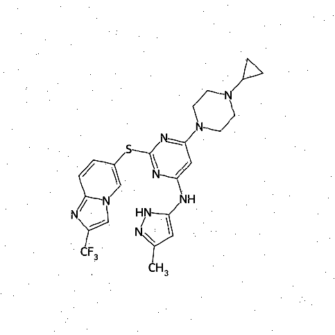 Cc1cc(Nc2cc(N3CCN(C4CC4)CC3)nc(Sc3ccc4nc(C(F)(F)F)cn4c3)n2)[nH]n1